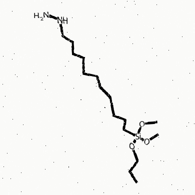 CCCO[Si](CCCCCCCCCCCNN)(OC)OC